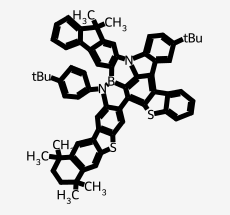 CC(C)(C)c1ccc(N2B3c4cc5c(cc4-n4c6ccc(C(C)(C)C)cc6c6c7c(sc8ccccc87)c(c3c64)-c3cc4sc6cc7c(cc6c4cc32)C(C)(C)CCC7(C)C)C(C)(C)c2ccccc2-5)cc1